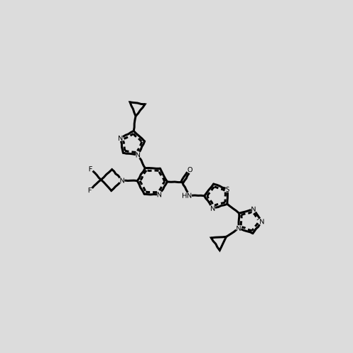 O=C(Nc1csc(-c2nncn2C2CC2)n1)c1cc(-n2cnc(C3CC3)c2)c(N2CC(F)(F)C2)cn1